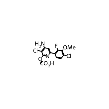 COc1c(Cl)ccc(-c2cc(N)c(Cl)c(OC(=O)O)n2)c1F